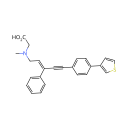 CN(CC=C(C#Cc1ccc(-c2ccsc2)cc1)c1ccccc1)CC(=O)O